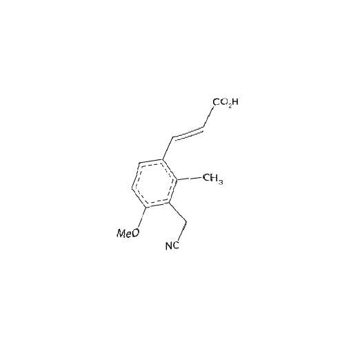 COc1ccc(/C=C/C(=O)O)c(C)c1CC#N